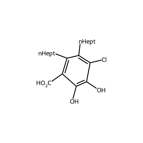 CCCCCCCc1c(Cl)c(O)c(O)c(C(=O)O)c1CCCCCCC